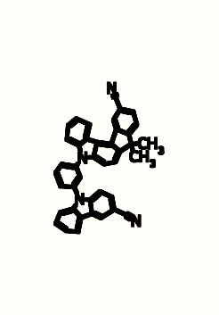 CC1(C)c2ccc(C#N)cc2-c2c1ccc1c2c2ccccc2n1-c1cccc(-n2c3ccccc3c3cc(C#N)ccc32)c1